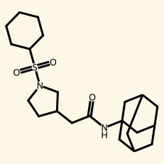 O=C(CC1CCN(S(=O)(=O)C2CCCCC2)C1)NC12CC3CC(CC(C3)C1)C2